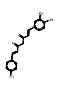 O=C(C=Cc1ccc(O)cc1)CC(=O)C=Cc1ccc(O)c(O)c1